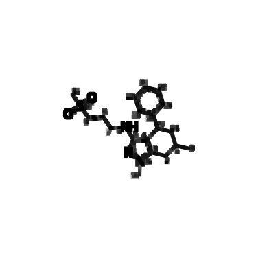 CC1Cc2c(c(NC/C=C/S(C)(=O)=O)nn2C)C(c2ccccc2)C1